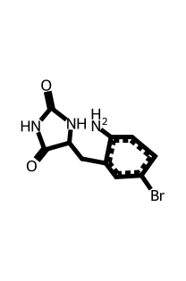 Nc1ccc(Br)cc1CC1NC(=O)NC1=O